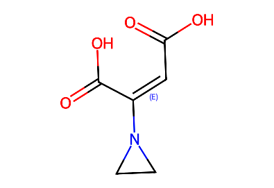 O=C(O)/C=C(\C(=O)O)N1CC1